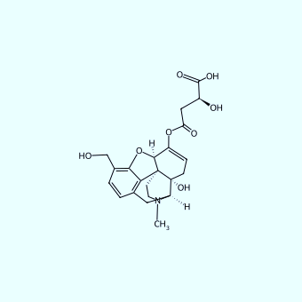 CN1CC[C@]23c4c5ccc(CO)c4O[C@H]2C(OC(=O)C[C@H](O)C(=O)O)=CC[C@@]3(O)[C@H]1C5